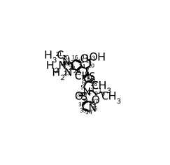 CC[C@@H]1CN(Cc2cc(C(CC(=O)O)c3ccc(N(N)CC)c(N)c3C)sc2C)[S+]([O-])c2cccnc2O1